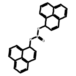 O=S(OC1C=Cc2cccc3cccc1c23)OC1C=Cc2cccc3cccc1c23